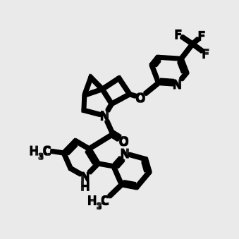 CC1=CC(C(=O)N2CC3CC34CC(Oc3ccc(C(F)(F)F)cn3)C24)=C(c2ncccc2C)NC1